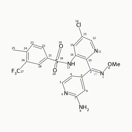 CO/N=C(/c1ccnc(N)c1)c1ncc(Cl)cc1NS(=O)(=O)c1ccc(C)c(C(F)(F)F)c1